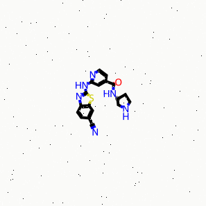 N#Cc1ccc2nc(Nc3cc(C(=O)N[C@@H]4CCNC4)ccn3)sc2c1